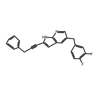 Fc1ccc(Cc2cnc3[nH]c(C#CCc4ccccc4)cc3c2)cc1F